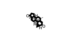 C[C@H]1C[C@@H]2[C@H](CC[C@]3(C)C(=O)CC[C@@H]23)[C@]2(C)C1=CC(=O)[C@H]1C[C@H]12